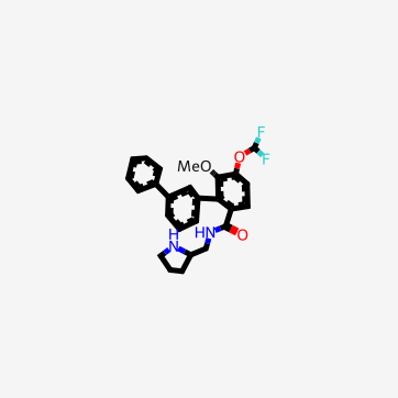 COc1c(OC(F)F)ccc(C(=O)NCC2CCCN2)c1-c1cccc(-c2ccccc2)c1